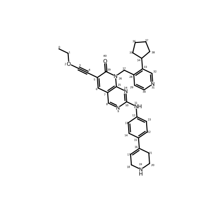 CCOC#Cc1cc2cnc(Nc3ccc(C4=CCNCC4)cc3)nc2n(Cc2ccncc2C2CCCC2)c1=O